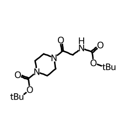 CC(C)(C)OC(=O)NCC(=O)N1CCN(C(=O)OC(C)(C)C)CC1